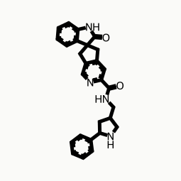 O=C(NCC1CNC(c2ccccc2)C1)c1cc2c(cn1)CC1(C2)C(=O)Nc2ccccc21